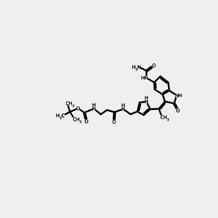 CC(=C1C(=O)Nc2ccc(NC(N)=O)cc21)c1cc(CNC(=O)CCNC(=O)OC(C)(C)C)c[nH]1